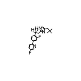 CC(C)(C)Cc1c[nH]c(CC(C)(O)c2ccc(-c3ccc(F)cn3)cc2F)n1